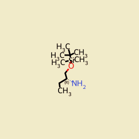 CC[C@@H](N)CO[Si](C)(C)C(C)(C)C